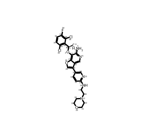 C[C@@H](Oc1c(N)ncc2c(-c3ccc(NCCN4CCOCC4)nc3)coc12)c1c(Cl)ccc(F)c1Cl